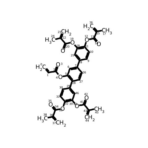 C=CC(=O)Oc1cc(-c2ccc(OC(=O)C(=C)C)c(OC(=O)C(=C)C)c2)ccc1-c1ccc(OC(=O)C(=C)C)c(OC(=O)C(=C)C)c1